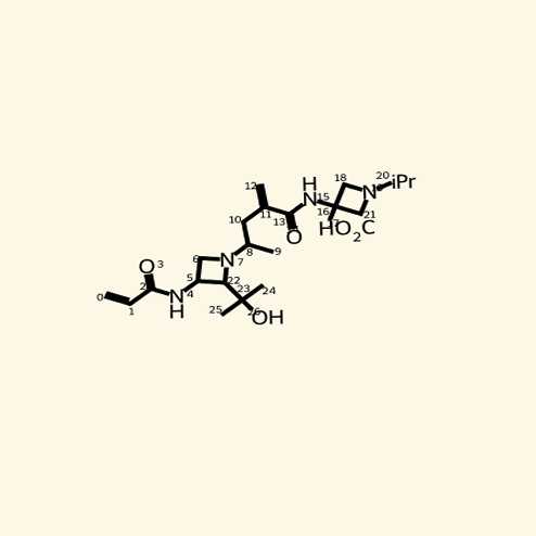 C=CC(=O)NC1CN(C(C)CC(=C)C(=O)NC2(C(=O)O)CN(C(C)C)C2)C1C(C)(C)O